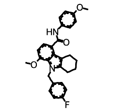 COc1ccc(NC(=O)c2ccc(OC)c3c2c2c(n3Cc3ccc(F)cc3)CCCC2)cc1